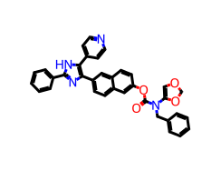 O=C(Oc1ccc2cc(-c3nc(-c4ccccc4)[nH]c3-c3ccncc3)ccc2c1)N(Cc1ccccc1)C1=COCO1